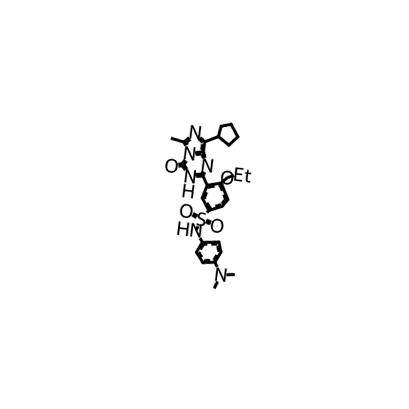 CCOc1ccc(S(=O)(=O)Nc2ccc(N(C)C)cc2)cc1-c1nc2c(C3CCCC3)nc(C)n2c(=O)[nH]1